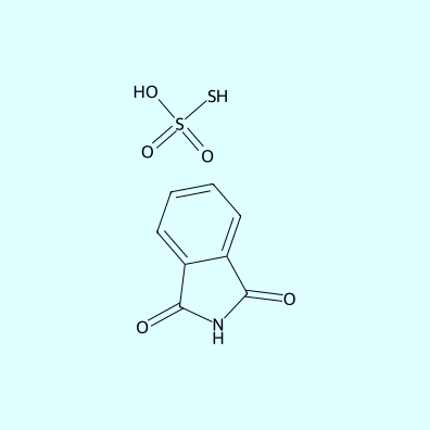 O=C1NC(=O)c2ccccc21.O=S(=O)(O)S